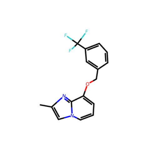 Cc1cn2cccc(OCc3cccc(C(F)(F)F)c3)c2n1